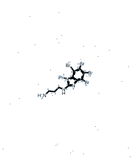 CC(C)n1c(NCCCN)nc2c(Br)c(Br)c(Br)c(Br)c21